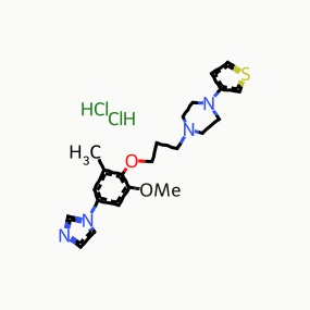 COc1cc(-n2ccnc2)cc(C)c1OCCCN1CCN(c2ccsc2)CC1.Cl.Cl